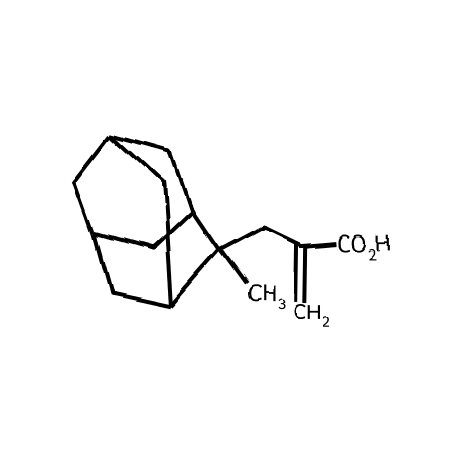 C=C(CC1(C)C2CC3CC(C2)CC1C3)C(=O)O